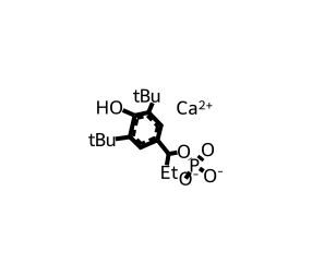 CCC(OP(=O)([O-])[O-])c1cc(C(C)(C)C)c(O)c(C(C)(C)C)c1.[Ca+2]